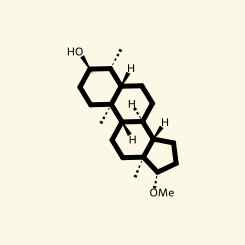 CO[C@H]1CC[C@H]2[C@@H]3CC[C@H]4[C@@H](C)[C@H](O)CC[C@]4(C)[C@H]3CC[C@]12C